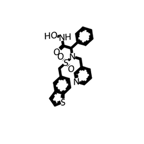 O=C(NO)C(c1ccccc1)N(Cc1cccnc1)S(=O)(=O)Cc1ccc2sccc2c1